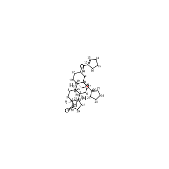 C[C@]12CC[C@@H]3[C@@H](CCC4CC(OC5=CCCC5)CC[C@@]43COC3=CCCC3)[C@@H]1CCC2=O